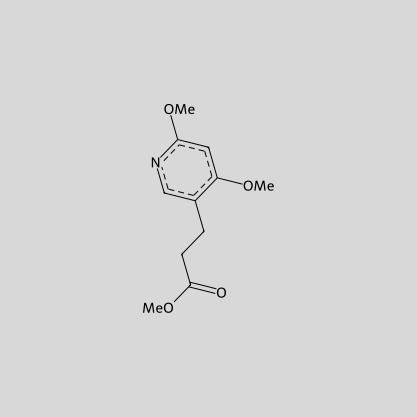 COC(=O)CCc1cnc(OC)cc1OC